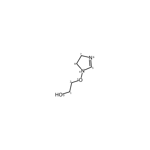 OCCON1C=NCC1